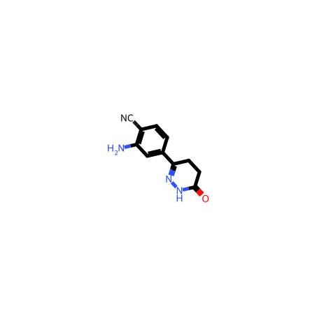 N#Cc1ccc(C2=NNC(=O)CC2)cc1N